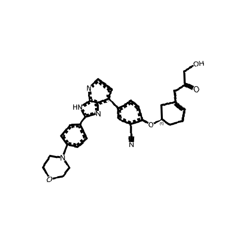 N#Cc1cc(-c2ccnc3[nH]c(-c4ccc(N5CCOCC5)cc4)nc23)ccc1O[C@@H]1CCC=C(CC(=O)CO)C1